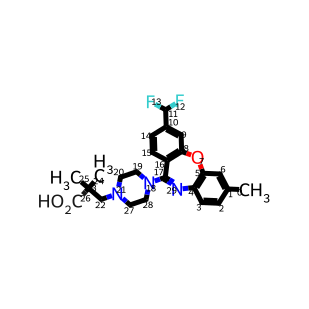 Cc1ccc2c(c1)Oc1cc(C(F)F)ccc1C(N1CCN(CC(C)(C)C(=O)O)CC1)=N2